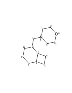 C1CC2CCC2C(CN2CCOCC2)C1